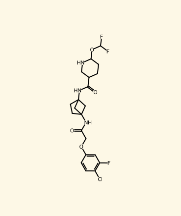 O=C(COc1ccc(Cl)c(F)c1)NC12CCC(NC(=O)C3CCC(OC(F)F)NC3)(C1)C2